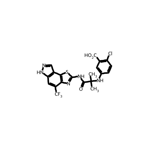 CC(C)(Nc1ccc(Cl)c(C(=O)O)c1)C(=O)Nc1nc2c(C(F)(F)F)cc3[nH]ncc3c2s1